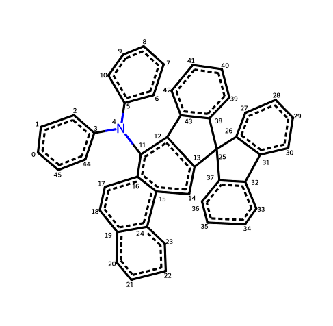 c1ccc(N(c2ccccc2)c2c3c(cc4c2ccc2ccccc24)C2(c4ccccc4-c4ccccc42)c2ccccc2-3)cc1